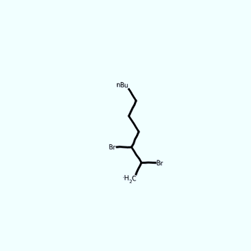 [CH2]C(Br)C(Br)CCCCCCC